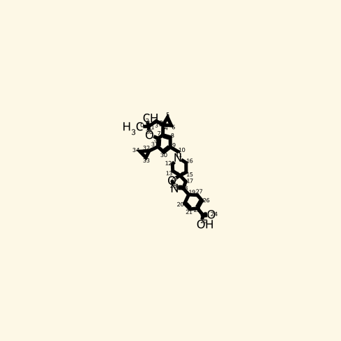 CC1(C)CC2(CC2)c2cc(CN3CCC4(CC3)CC(C3C=CC(C(=O)O)=CC3)=NO4)cc(C3CC3)c2O1